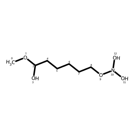 COC(O)CCCCCON(O)O